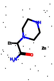 CCC(C(N)=O)N1CCNCC1.[Zn]